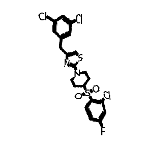 O=S(=O)(c1ccc(F)cc1Cl)C1CCN(c2nc(Cc3cc(Cl)cc(Cl)c3)cs2)CC1